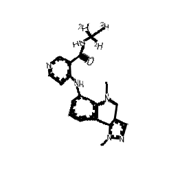 [2H]C([2H])([2H])NC(=O)c1cnccc1Nc1cccc2c1N(C)Cc1cnn(C)c1-2